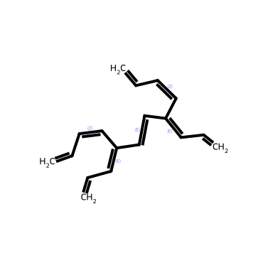 C=C\C=C/C(/C=C/C(/C=C\C=C)=C/C=C)=C\C=C